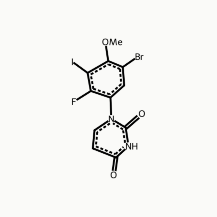 COc1c(Br)cc(-n2ccc(=O)[nH]c2=O)c(F)c1I